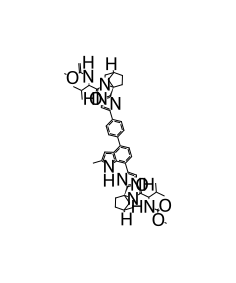 C=C(N[C@H](C(=O)N1C[C@@H]2CC[C@@]1(c1nc(-c3ccc(-c4ccc(-c5c[nH]c([C@@]67CC[C@@H](CN6C(=O)[C@@H](NC(=O)OC)C(C)C)C7)n5)c5[nH]c(C)cc45)cc3)c[nH]1)C2)C(C)C)OC